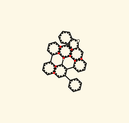 c1ccc(-c2ccccc2-c2c(-c3ccccc3)cccc2N(c2ccccc2-c2ccccc2)c2cccc3oc4ccccc4c23)cc1